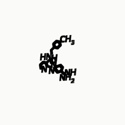 Cc1ccc(CCNC(=O)c2cccnc2-c2nc3cc(C(=N)N)ccc3[nH]2)cc1